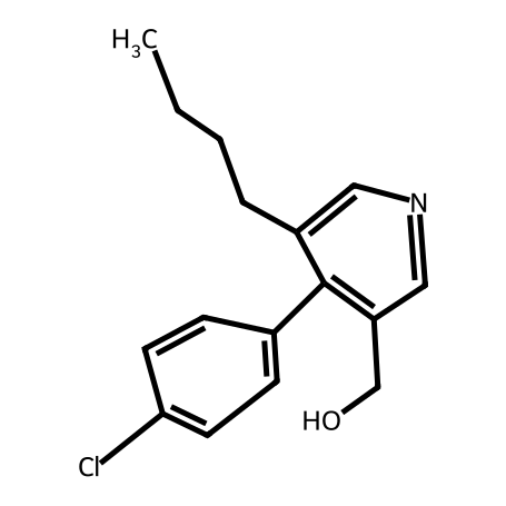 CCCCc1cncc(CO)c1-c1ccc(Cl)cc1